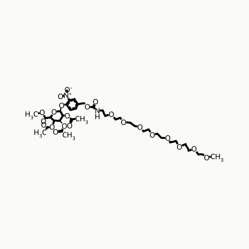 COCCOCCOCCOCCOCCOCCOCCOCCNC(=O)OCc1ccc(O[C@@H]2OC(C(=O)OC)C(OC(C)=O)[C@H](OC(C)=O)C2OC(C)=O)c([N+](=O)[O-])c1